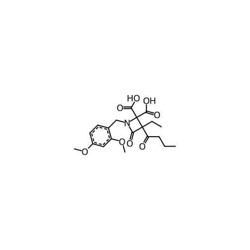 CCCC(=O)C1(CC)C(=O)N(Cc2ccc(OC)cc2OC)C1(C(=O)O)C(=O)O